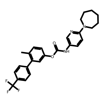 Cc1ccc(OC(=O)Nc2ccc(N3CCCCCC3)nc2)cc1-c1ccc(C(F)(F)F)cc1